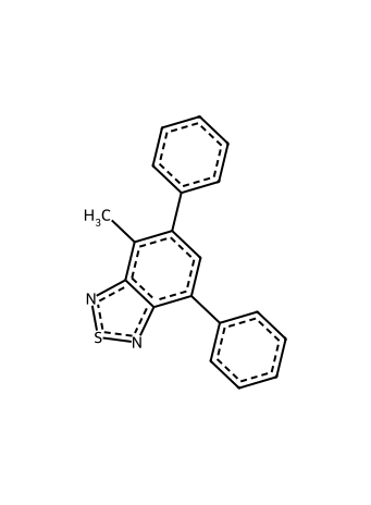 Cc1c(-c2ccccc2)cc(-c2ccccc2)c2nsnc12